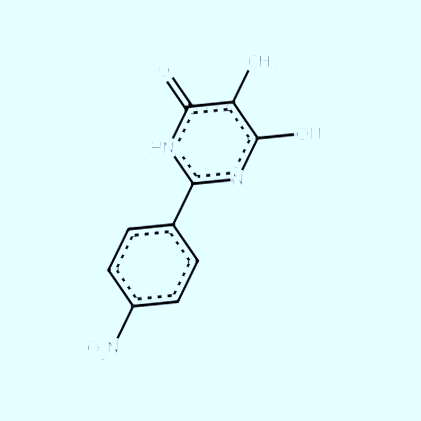 Cc1c(O)nc(-c2ccc([N+](=O)[O-])cc2)[nH]c1=O